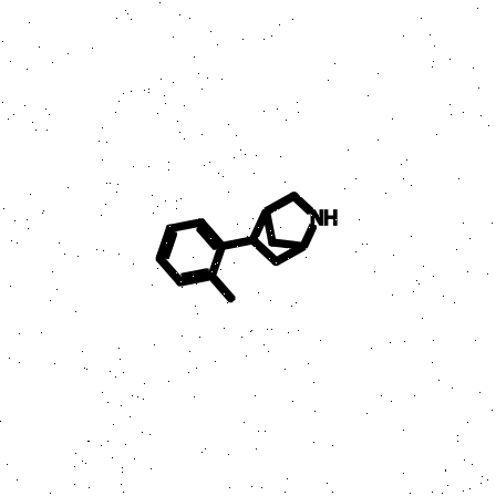 Cc1ccccc1C1CC2CC1CN2